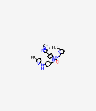 Cc1cccc(CNC(=O)N(C=C2CCC(Nc3ccc(C#N)cn3)CC2)c2ccc(-c3cnn(C)c3)cc2)n1